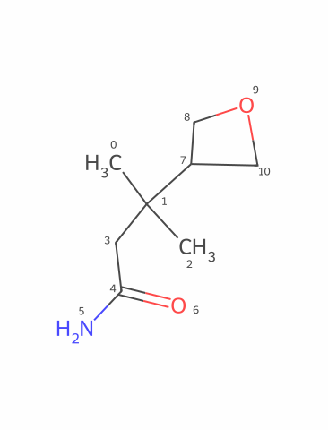 CC(C)(CC(N)=O)C1COC1